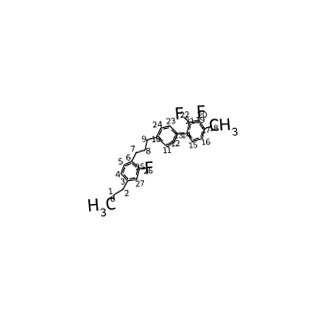 CCCc1ccc(CCCc2ccc(-c3ccc(C)c(F)c3F)cc2)c(F)c1